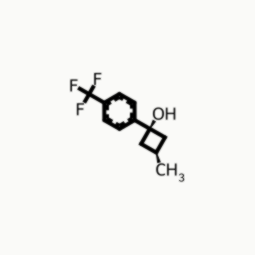 C[C@H]1C[C@](O)(c2ccc(C(F)(F)F)cc2)C1